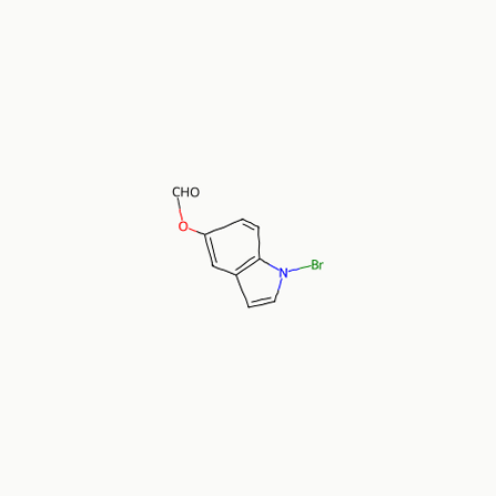 O=COc1ccc2c(ccn2Br)c1